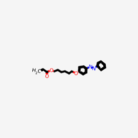 C=CC(=O)OCCCCCCOc1ccc(/N=N/c2ccccc2)cc1